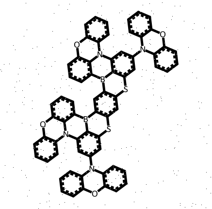 c1ccc2c(c1)Oc1ccccc1N2c1cc2c3c(c1)N1c4ccccc4Oc4cccc(c41)B3c1cc3c(cc1S2)Sc1cc(N2c4ccccc4Oc4ccccc42)cc2c1B3c1cccc3c1N2c1ccccc1O3